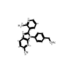 CC(=O)OCc1ccc(-n2c(-c3cccnc3N)nc3ccc(C#N)nc32)cc1